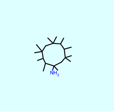 CC1C(C)C(C)(C)CC(C)(N)C(C)C(C)C(C)(C)CC1(C)C